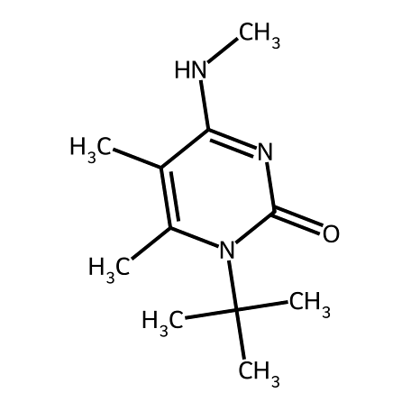 CNc1nc(=O)n(C(C)(C)C)c(C)c1C